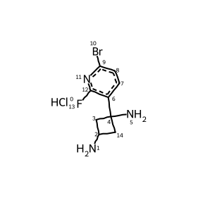 Cl.NC1CC(N)(c2ccc(Br)nc2F)C1